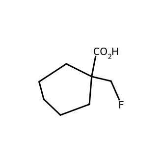 O=C(O)C1(CF)CCCCC1